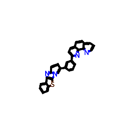 c1cc(-c2ccc3nc4c5ccccc5sc4n3c2)cc(-c2ccc3ccc4cccnc4c3n2)c1